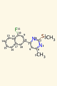 CSc1nc(C)cc(-c2cc(F)c3ccccc3c2)n1